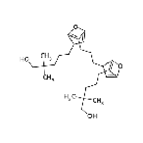 CC(C)(CO)CCCC1=C2OC1=CC2CCCC1=C2OC1=CC2CCCC(C)(C)CO